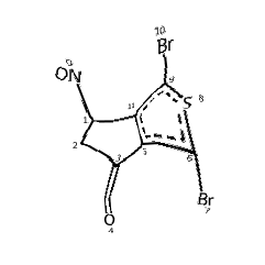 O=NC1CC(=O)c2c(Br)sc(Br)c21